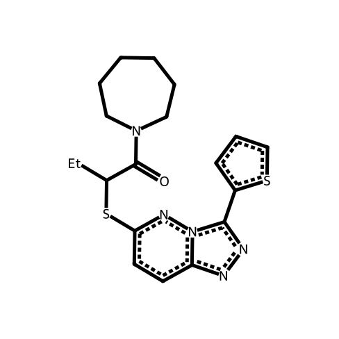 CCC(Sc1ccc2nnc(-c3cccs3)n2n1)C(=O)N1CCCCCC1